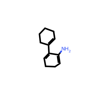 NC1=CCCC=C1C1=CCCCC1